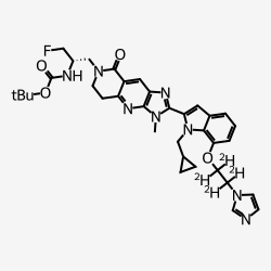 [2H]C([2H])(Oc1cccc2cc(-c3nc4cc5c(nc4n3C)CCN(C[C@@H](CF)NC(=O)OC(C)(C)C)C5=O)n(CC3CC3)c12)C([2H])([2H])n1ccnc1